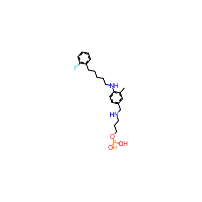 Cc1cc(CNCCCO[PH](=O)O)ccc1NCCCCCc1ccccc1F